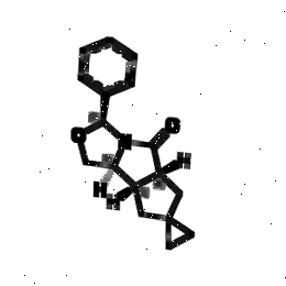 O=C1[C@@H]2CC3(CC3)C[C@@H]2[C@H]2CO[C@@H](c3ccccc3)N12